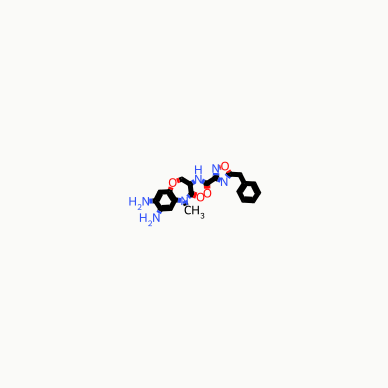 CN1C(=O)C(NC(=O)c2noc(Cc3ccccc3)n2)COc2cc(N)c(N)cc21